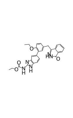 CCOC(=O)Nc1nc2cc(-c3cc(Cc4n[nH]c(=O)c5ccccc45)ccc3OCC)ccc2[nH]1